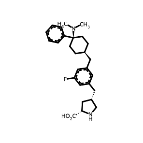 CN(C)[C@]1(c2ccccc2)CC[C@H](Cc2cc(F)cc(C[C@@H]3CN[C@H](C(=O)O)C3)c2)CC1